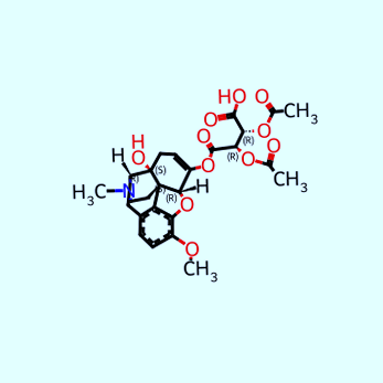 COc1ccc2c3c1O[C@H]1C(OC(=O)[C@H](OC(C)=O)[C@@H](OC(C)=O)C(=O)O)=CC[C@@]4(O)[C@@H](C2)N(C)CC[C@]314